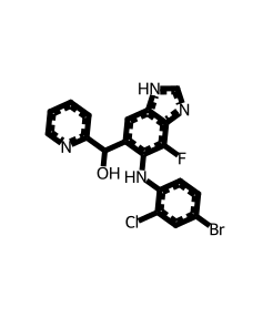 OC(c1ccccn1)c1cc2[nH]cnc2c(F)c1Nc1ccc(Br)cc1Cl